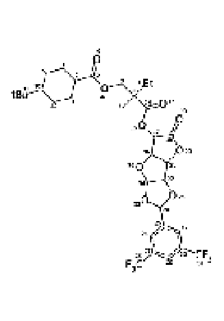 CCC(C)(COC(=O)C1CCC(C(C)(C)C)CC1)C(=O)OC1C(=O)OC2C3OC(c4cc(C(F)(F)F)cc(C(F)(F)F)c4)OC3OC12